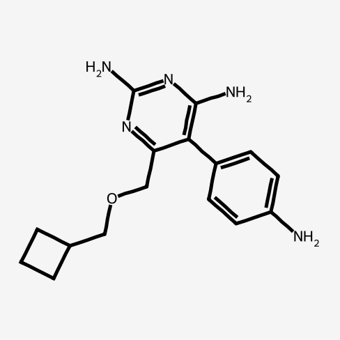 Nc1ccc(-c2c(N)nc(N)nc2COCC2CCC2)cc1